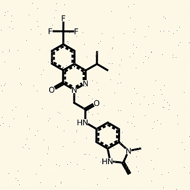 C=C1Nc2cc(NC(=O)Cn3nc(C(C)C)c4cc(C(F)(F)F)ccc4c3=O)ccc2N1C